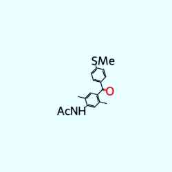 CSc1ccc(C(=O)c2cc(C)c(NC(C)=O)cc2C)cc1